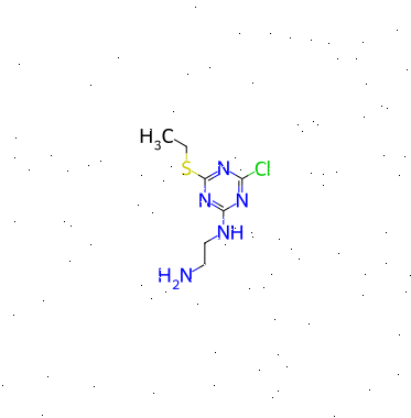 CCSc1nc(Cl)nc(NCCN)n1